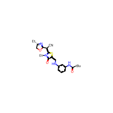 CC[C@H]1COC(C(C#N)=c2sc(=CNc3cccc(NC(=O)C(C)(C)C)c3)c(=O)n2CC)=N1